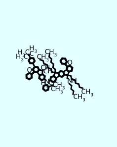 CCCCCCCCC1(CCCCCCCC)c2cc(N(c3ccc4c(c3)C(C)(C)c3cc(-c5ccc(C(C)(C)C)cc5)c5oc6ccccc6c5c3-4)c3ccccc3C(C)(C)C)ccc2-c2cc3c(cc21)-c1c(ccc2oc4ccccc4c12)C3(CCCCCCCC)CNCCCCCC